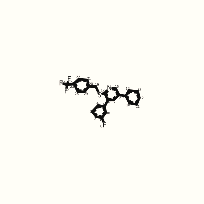 Fc1cccc(-c2cc(-c3ccccc3)cnc2SCc2ccc(C(F)(F)F)cc2)c1